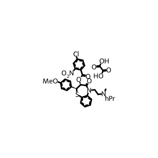 CCCN(C)CCN1C(=O)[C@H](OC(=O)c2ccc(Cl)cc2[N+](=O)[O-])[C@H](c2ccc(OC)cc2)Sc2ccccc21.O=C(O)C(=O)O